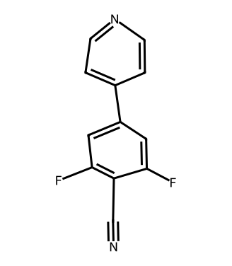 N#Cc1c(F)cc(-c2ccncc2)cc1F